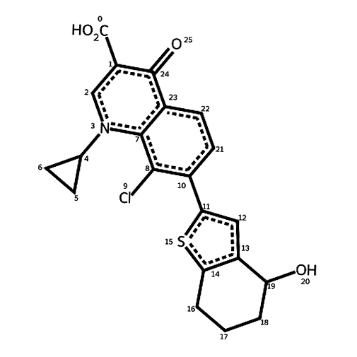 O=C(O)c1cn(C2CC2)c2c(Cl)c(-c3cc4c(s3)CCCC4O)ccc2c1=O